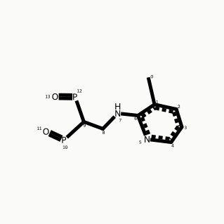 Cc1cccnc1NCC(P=O)P=O